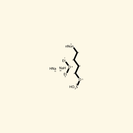 CCCCCCCCCCCCCOS(=O)(=O)O.CCOCC.[NaH].[NaH]